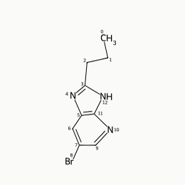 CCCc1nc2cc(Br)cnc2[nH]1